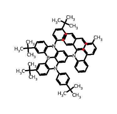 Cc1ccc(-c2ccccc2N(c2cc3c4c(c2)N(c2ccc(C(C)(C)C)cc2)c2ccc(C(C)(C)C)cc2B4c2cc(C(C)(C)C)ccc2N3c2ccc(C(C)(C)C)cc2)c2cccc3ccccc23)cc1